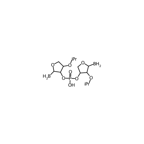 BC1OCC(OP(=O)(O)OC2C(B)OCC2OC(C)C)C1OC(C)C